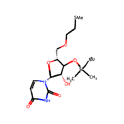 CSCCOC[C@H]1O[C@@H](n2ccc(=O)[nH]c2=O)[C@@H](O)C1O[Si](C)(C)C(C)(C)C